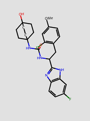 COc1ccc(CC(NC(=O)NC23CCC(O)(CC2)CC3)c2nc3ccc(F)cc3[nH]2)c(F)c1